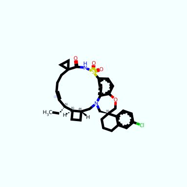 CC[C@@H]1/C=C\CCC2(CC2)C(=O)NS(=O)(=O)c2ccc3c(c2)N(C[C@@H]2CC[C@H]21)C[C@@]1(CCCc2cc(Cl)ccc21)CO3